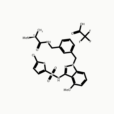 CN[C@@H](C)C(=O)NCc1cccc(Cn2nc(NS(=O)(=O)c3ccc(Cl)s3)c3c(OC)cccc32)c1.O=C(O)C(F)(F)F